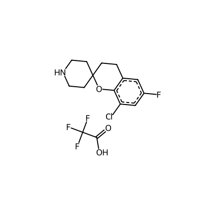 Fc1cc(Cl)c2c(c1)CCC1(CCNCC1)O2.O=C(O)C(F)(F)F